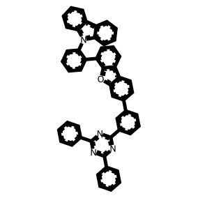 c1ccc(-c2nc(-c3ccccc3)nc(-c3cccc(-c4ccc5c(c4)oc4c(-c6ccccc6-n6c7ccccc7c7ccccc76)cccc45)c3)n2)cc1